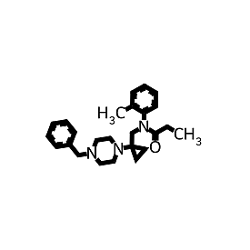 CCC(=O)N(CC1(N2CCN(Cc3ccccc3)CC2)CC1)c1ccccc1C